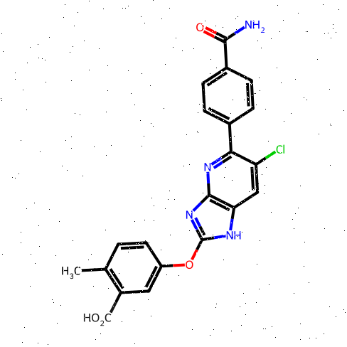 Cc1ccc(Oc2nc3nc(-c4ccc(C(N)=O)cc4)c(Cl)cc3[nH]2)cc1C(=O)O